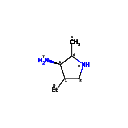 CCC1CNC(C)[C@@H]1N